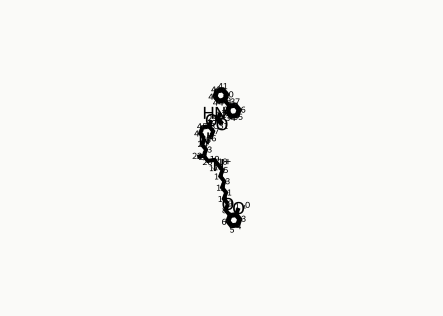 COc1ccccc1COCCCCCC[N+](C)(C)CCC(C)CCN1CCC(OC(=O)Nc2ccccc2-c2ccccc2)CC1